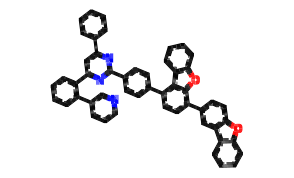 c1ccc(-c2cc(-c3ccccc3-c3cccnc3)nc(-c3ccc(-c4ccc(-c5ccc6oc7ccccc7c6c5)c5oc6ccccc6c45)cc3)n2)cc1